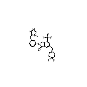 Cn1cnnc1Cc1cccc(N2Cc3c(cc(CN4CCC(F)(F)CC4)cc3C(F)(F)F)C2=O)c1